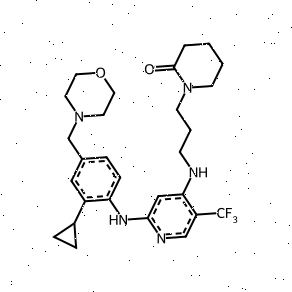 O=C1CCCCN1CCCNc1cc(Nc2ccc(CN3CCOCC3)cc2C2CC2)ncc1C(F)(F)F